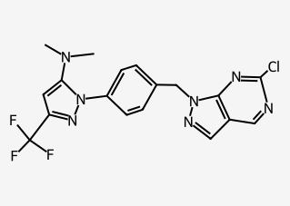 CN(C)c1cc(C(F)(F)F)nn1-c1ccc(Cn2ncc3cnc(Cl)nc32)cc1